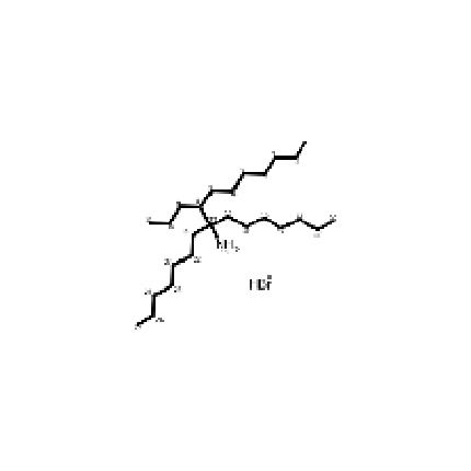 Br.CCCCCCCC(CCC)C(N)(CCCCCCC)CCCCCCC